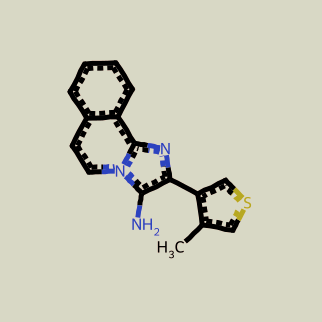 Cc1cscc1-c1nc2c3ccccc3ccn2c1N